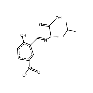 CC(C)C[C@H](N=Cc1cc([N+](=O)[O-])ccc1O)C(=O)O